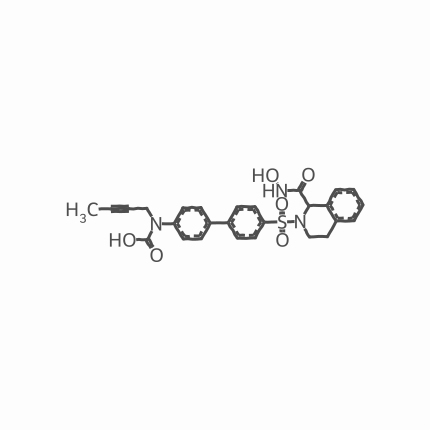 CC#CCN(C(=O)O)c1ccc(-c2ccc(S(=O)(=O)N3CCc4ccccc4C3C(=O)NO)cc2)cc1